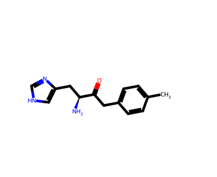 Cc1ccc(CC(=O)[C@@H](N)Cc2c[nH]cn2)cc1